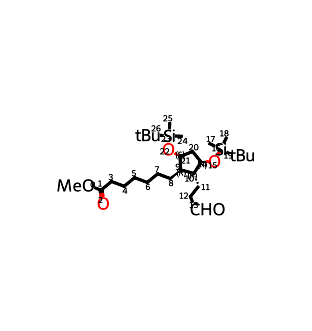 COC(=O)CCCCCC[C@@H]1[C@@H](CCC=O)[C@H](O[Si](C)(C)C(C)(C)C)C[C@@H]1O[Si](C)(C)C(C)(C)C